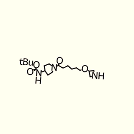 CC(C)(C)OC(=O)NC1CCN(C(=O)CCCCCOC2CNC2)CC1